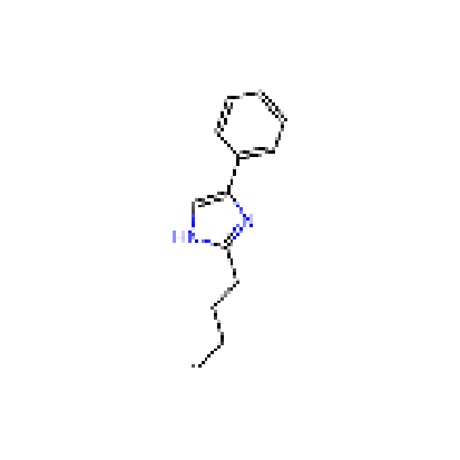 [CH2]CCCc1nc(-c2ccccc2)c[nH]1